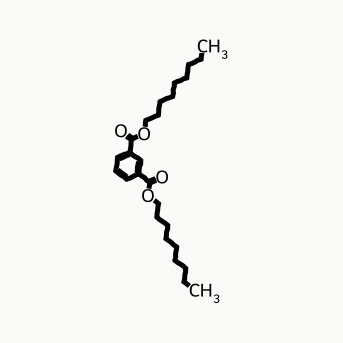 CCCCCCCCCOC(=O)c1cccc(C(=O)OCCCCCCCCC)c1